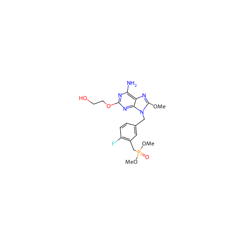 COc1nc2c(N)nc(OCCO)nc2n1Cc1ccc(F)c(CP(=O)(OC)OC)c1